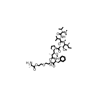 CC[C@H](C)C([C@@H](CC(=O)N1CCC[C@H]1[C@H](OC)[C@@H](C)C(=O)N[C@@H](Cc1ccccc1)C(=O)NCCOCCOC(=O)[C@H](C)N)OC)N(C)C(=O)[C@@H](NC(=O)[C@H](C(C)C)N(C)C)C(C)C